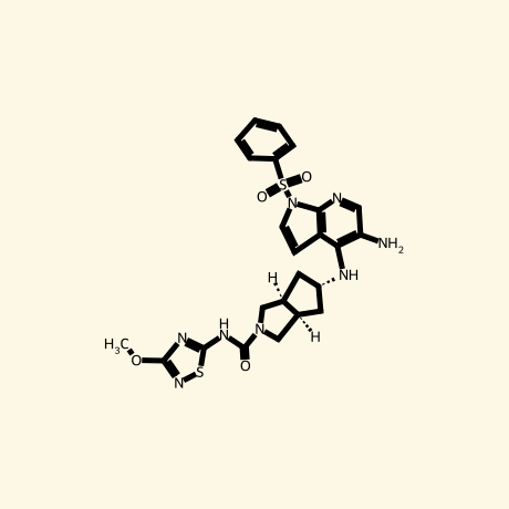 COc1nsc(NC(=O)N2C[C@H]3C[C@H](Nc4c(N)cnc5c4ccn5S(=O)(=O)c4ccccc4)C[C@H]3C2)n1